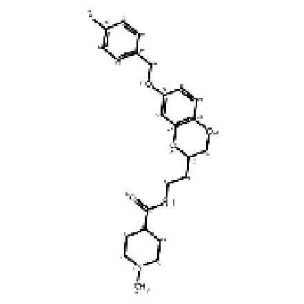 CN1CCC(C(=O)NCCC2COc3ccc(OCc4ccc(F)cc4)cc3O2)CC1